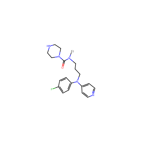 CCN(CCCN(c1ccncc1)c1ccc(F)cc1)C(=O)N1CCNCC1